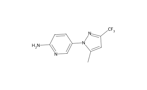 Cc1cc(C(F)(F)F)nn1-c1ccc(N)nc1